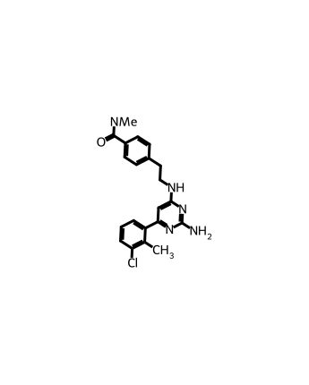 CNC(=O)c1ccc(CCNc2cc(-c3cccc(Cl)c3C)nc(N)n2)cc1